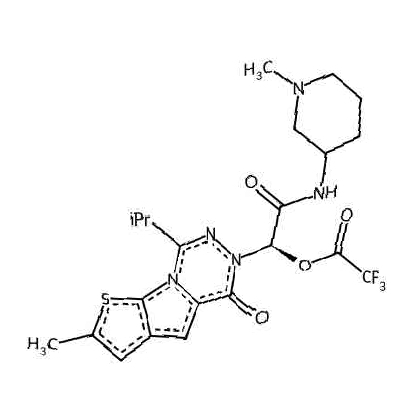 Cc1cc2cc3c(=O)n([C@H](OC(=O)C(F)(F)F)C(=O)NC4CCCN(C)C4)nc(C(C)C)n3c2s1